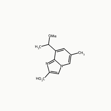 COC(C)c1cc(C)cn2cc(C(=O)O)nc12